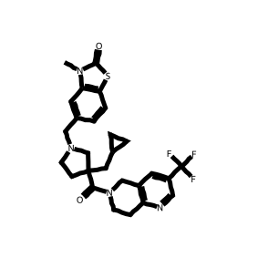 Cn1c(=O)sc2ccc(CN3CCC(CC4CC4)(C(=O)N4CCc5ncc(C(F)(F)F)cc5C4)C3)cc21